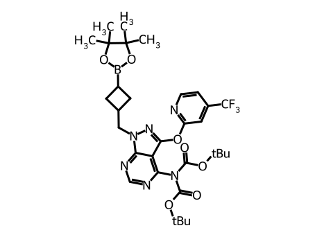 CC(C)(C)OC(=O)N(C(=O)OC(C)(C)C)c1ncnc2c1c(Oc1cc(C(F)(F)F)ccn1)nn2CC1CC(B2OC(C)(C)C(C)(C)O2)C1